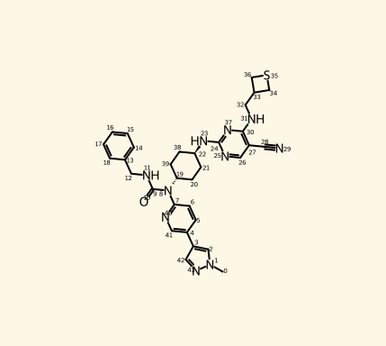 Cn1cc(-c2ccc(N(C(=O)NCc3ccccc3)[C@H]3CC[C@H](Nc4ncc(C#N)c(NCC5CSC5)n4)CC3)nc2)cn1